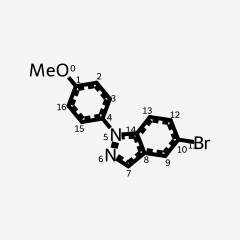 COc1ccc(-n2ncc3cc(Br)ccc32)cc1